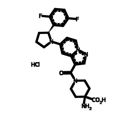 Cl.NC1(C(=O)O)CCN(C(=O)c2cnn3ccc(N4CCC[C@@H]4c4cc(F)ccc4F)cc23)CC1